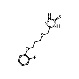 Fc1ccccc1OCCCSCc1n[nH]c(=S)[nH]1